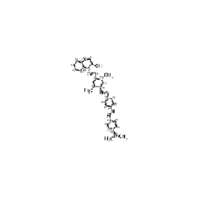 Cc1cc(N=Nc2c(O)ccc3ccccc23)c(C)cc1N=Nc1ccc(N=Nc2ccc(N(C)C)cc2)cc1